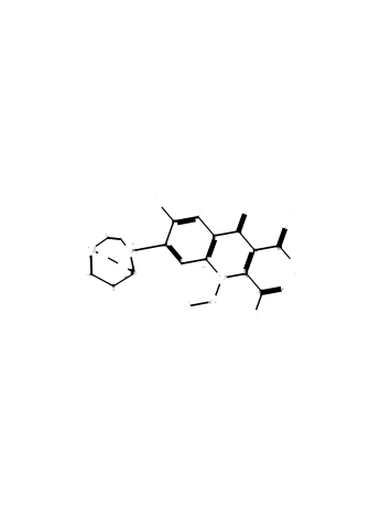 CNn1c(C(=O)O)c(C(=O)O)c(=O)c2cc(F)c(N3CCN4CCC3CC4)cc21